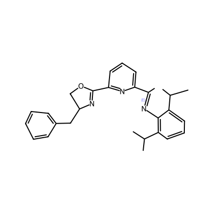 C/C(=N\c1c(C(C)C)cccc1C(C)C)c1cccc(C2=NC(Cc3ccccc3)CO2)n1